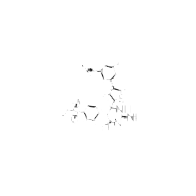 CCS(=O)(=O)c1ccc([C@H]2C(=O)N(C)C(=N)N[C@]2(C)c2cc(-c3cccc(C#N)c3)cs2)cc1